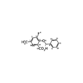 Cc1cc(F)c(OCc2ccccc2)c(C(=O)O)n1